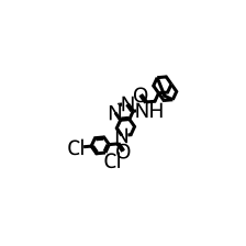 O=C(CC12CC3CC(CC(C3)C1)C2)Nc1ncnc2c1CCN(C(=O)c1ccc(Cl)cc1Cl)C2